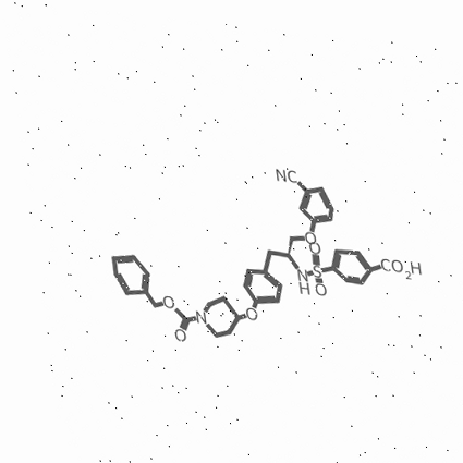 N#Cc1cccc(OC[C@H](Cc2ccc(OC3CCN(C(=O)OCc4ccccc4)CC3)cc2)NS(=O)(=O)c2ccc(C(=O)O)cc2)c1